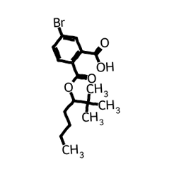 CCCCC(OC(=O)c1ccc(Br)cc1C(=O)O)C(C)(C)C